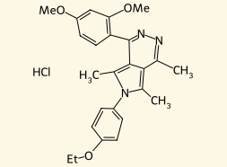 CCOc1ccc(-n2c(C)c3c(C)nnc(-c4ccc(OC)cc4OC)c3c2C)cc1.Cl